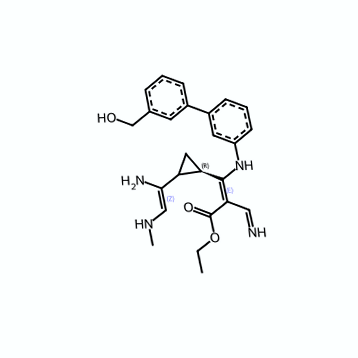 CCOC(=O)/C(C=N)=C(/Nc1cccc(-c2cccc(CO)c2)c1)[C@@H]1CC1/C(N)=C/NC